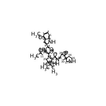 COc1cccc2[nH]c(C(=O)N[C@@H](CC(C)C)C(=O)N3C[C@H]4[C@@H]([C@H]3C(=O)N[C@H](C=O)C[C@@]3(C=O)CCNC3)C4(C)C)cc12